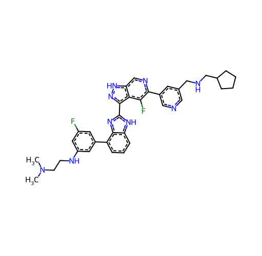 CN(C)CCNc1cc(F)cc(-c2cccc3[nH]c(-c4n[nH]c5cnc(-c6cncc(CNCC7CCCC7)c6)c(F)c45)nc23)c1